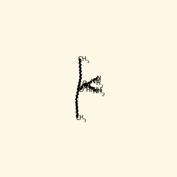 CCCCCCCCCCCCCCCCCCN(CCCCCCCCCCCCCCCCCC)C(=O)CNC(=O)C(CCCNCCCN)NCCCNNN